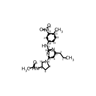 CCCc1cc(N2CCC(NC(C)=O)C2)nc(Nc2ccc(C)c([N+](=O)[O-])c2)n1